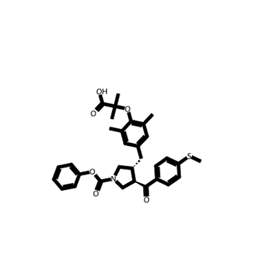 CSc1ccc(C(=O)[C@H]2CN(C(=O)Oc3ccccc3)C[C@@H]2Cc2cc(C)c(OC(C)(C)C(=O)O)c(C)c2)cc1